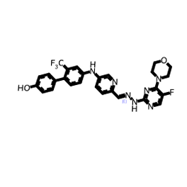 Oc1ccc(-c2ccc(Nc3ccc(/C=N/Nc4ncc(F)c(N5CCOCC5)n4)nc3)cc2C(F)(F)F)cc1